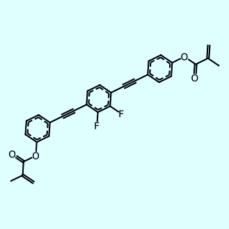 C=C(C)C(=O)Oc1ccc(C#Cc2ccc(C#Cc3cccc(OC(=O)C(=C)C)c3)c(F)c2F)cc1